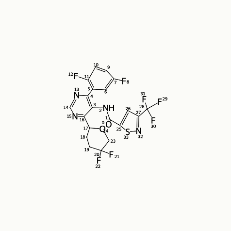 O=C(Nc1c(-c2cc(F)ccc2F)ncnc1C1CCC(F)(F)CO1)c1cc(C(F)(F)F)ns1